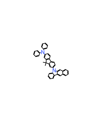 CC1(C)c2cc(N(c3ccccc3)c3ccccc3)ccc2-c2ccc(-n3c4ccccc4c4cc5ccccc5cc43)cc21